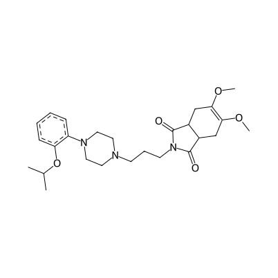 COC1=C(OC)CC2C(=O)N(CCCN3CCN(c4ccccc4OC(C)C)CC3)C(=O)C2C1